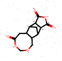 O=C1CC2C(COCO1)C1CC2C2C(=O)OC(=O)C12